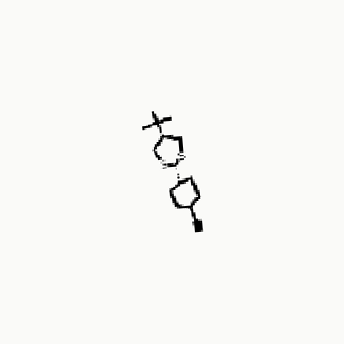 C#CC1CCC([C@H]2SC[C@H](C(C)(C)C)CS2)CC1